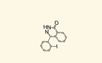 O=c1[nH]nc(-c2ccccc2I)c2ccccc12